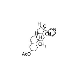 CC(=O)O[C@H]1CC[C@@]2(C)C(=CC[C@@H]3[C@@H]2CC[C@@]2(C)[C@H]3C[C@@H]3O[C@@]32c2cccnc2)C1